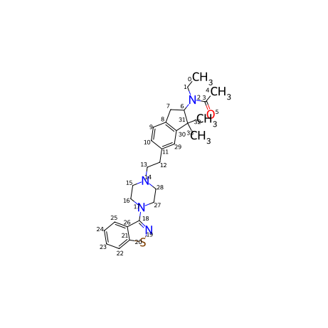 CCN(C(C)=O)C1Cc2ccc(CCN3CCN(c4nsc5ccccc45)CC3)cc2C1(C)C